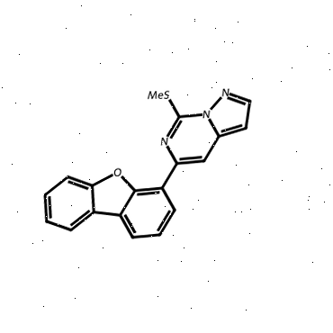 CSc1nc(-c2cccc3c2oc2ccccc23)cc2ccnn12